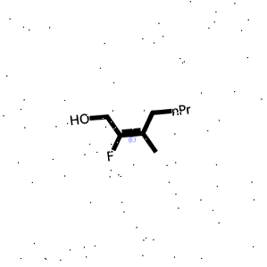 CCCC/C(C)=C(/F)CO